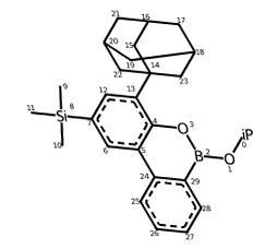 CC(C)OB1Oc2c(cc([Si](C)(C)C)cc2C23CC4CC(CC(C4)C2)C3)-c2ccccc21